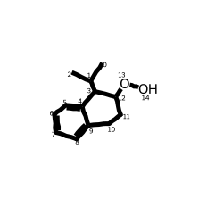 CC(C)C1c2ccccc2CCC1OO